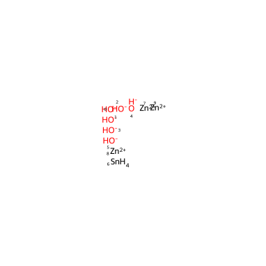 [OH-].[OH-].[OH-].[OH-].[OH-].[OH-].[SnH4].[Zn+2].[Zn+2].[Zn+2]